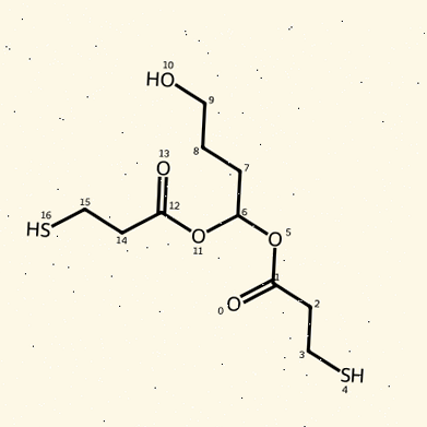 O=C(CCS)OC(CCCO)OC(=O)CCS